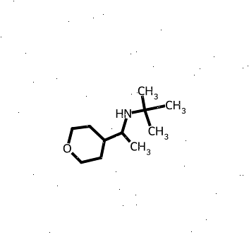 CC(NC(C)(C)C)C1CCOCC1